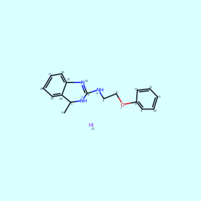 CC1NC(NCCOc2ccccc2)=Nc2ccccc21.I